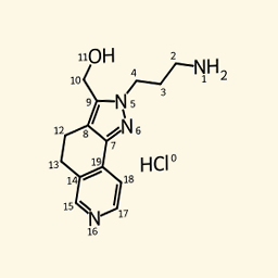 Cl.NCCCn1nc2c(c1CO)CCc1cnccc1-2